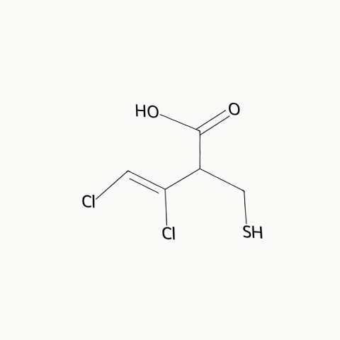 O=C(O)C(CS)C(Cl)=CCl